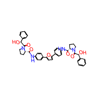 O=C(Nc1ccc(-c2ccc(-c3ccc(NC(=O)[C@@H]4CCCN4C(=O)[C@H](O)c4ccccc4)cc3)o2)cc1)[C@@H]1CCCN1C(=O)[C@H](O)c1ccccc1